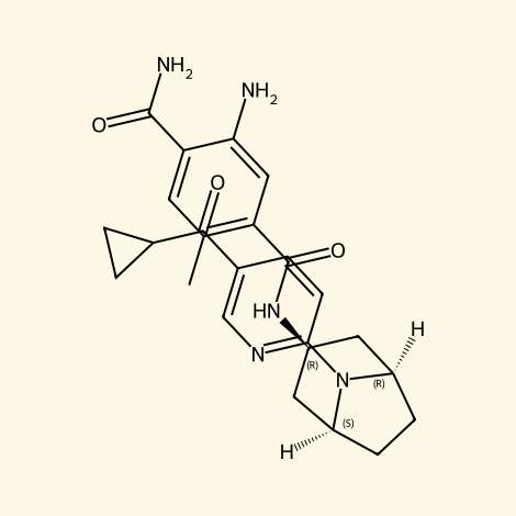 Cc1cc(C(N)=O)c(N)cc1C(=O)N[C@H]1C[C@H]2CC[C@@H](C1)N2c1ccc(C(=O)C2CC2)cn1